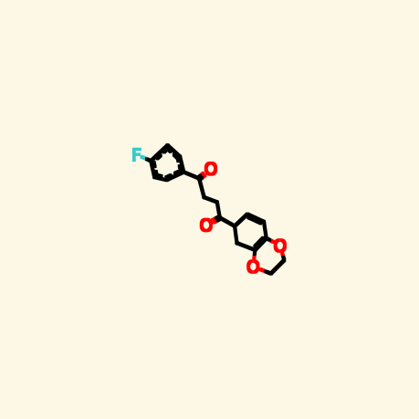 O=C(CCC(=O)C1C=CC2=C(C1)OCCO2)c1ccc(F)cc1